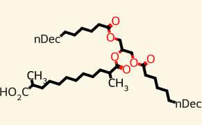 CCCCCCCCCCCCCCCC(=O)OCC(COC(=O)CCCCCCCCCCCCCCC)OC(=O)C(C)CCCCCCCCC(C)C(=O)O